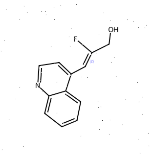 OC/C(F)=C/c1ccnc2ccccc12